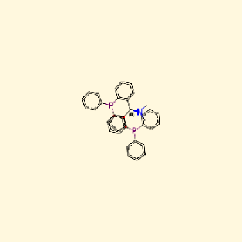 CN(C)[C@@H](C1=C(P(c2ccccc2)c2ccccc2)C=CC1)c1ccccc1P(c1ccccc1)c1ccccc1